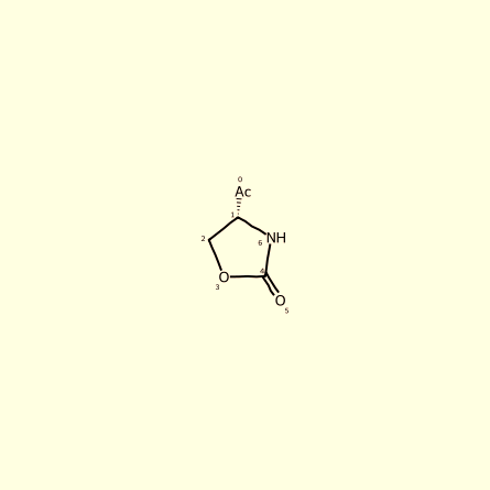 CC(=O)[C@H]1COC(=O)N1